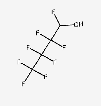 O[C](F)C(F)(F)C(F)(F)C(F)(F)F